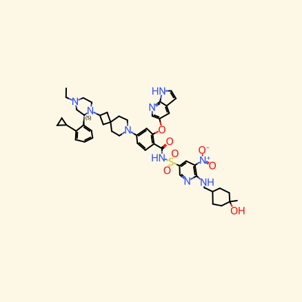 CCN1CCN(C2CC3(CCN(c4ccc(C(=O)NS(=O)(=O)c5cnc(NCC6CCC(C)(O)CC6)c([N+](=O)[O-])c5)c(Oc5cnc6[nH]ccc6c5)c4)CC3)C2)[C@@H](c2ccccc2C2CC2)C1